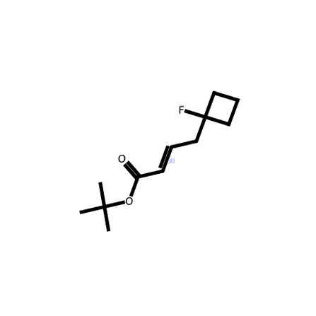 CC(C)(C)OC(=O)/C=C/CC1(F)CCC1